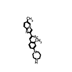 CC(=O)/C(=C\c1ccc(N2CCCNCC2)cc1C)c1cn2cc(C)ccc2n1